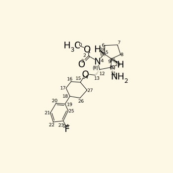 COC(=O)N1[C@@H]2CCC[C@@H]2[C@H](N)[C@@H]1COC1CCC(c2cccc(F)c2)CC1